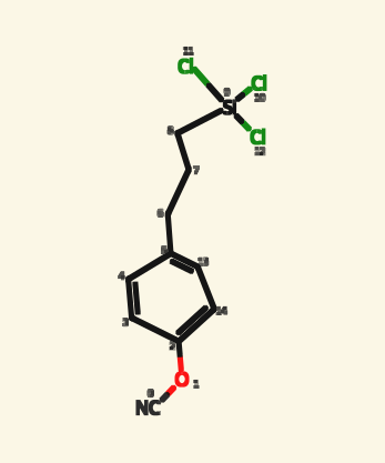 N#COc1ccc(CCC[Si](Cl)(Cl)Cl)cc1